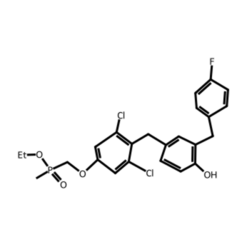 CCOP(C)(=O)COc1cc(Cl)c(Cc2ccc(O)c(Cc3ccc(F)cc3)c2)c(Cl)c1